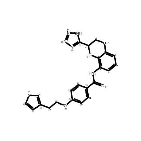 O=C(Nc1cccc2c1OC(c1nnn[nH]1)CO2)c1ccc(OCCc2ccsc2)cc1